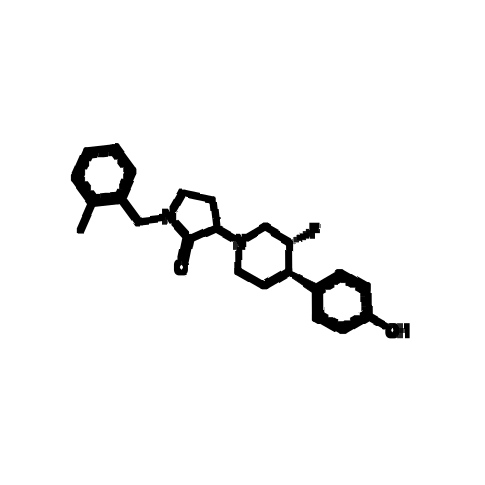 Cc1ccccc1CN1CCC(N2CC[C@H](c3ccc(O)cc3)[C@@H](F)C2)C1=O